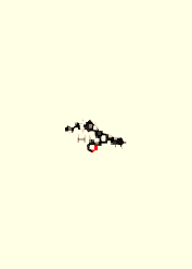 O=C(Nc1cc(-c2[nH]c3c(c2Nc2ccccc2)C(=O)CN(S(=O)(=O)c2cnc[nH]2)C3)ccn1)c1cncs1